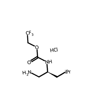 CC(C)C[C@@H](CN)NC(=O)OCC(F)(F)F.Cl